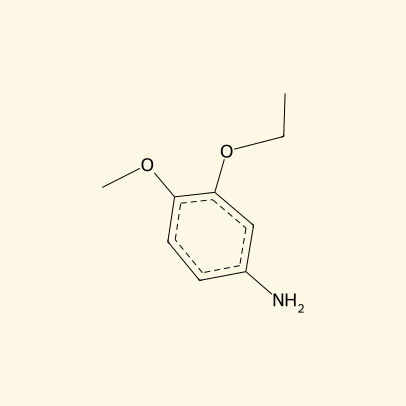 CCOc1cc(N)ccc1OC